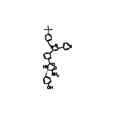 CC(C)(C)c1ccc(Cn2nc(-c3ccncc3)cc2-c2cccc(C(=O)N[C@@H](Cc3ccc(O)cc3)C(N)=O)c2)cc1